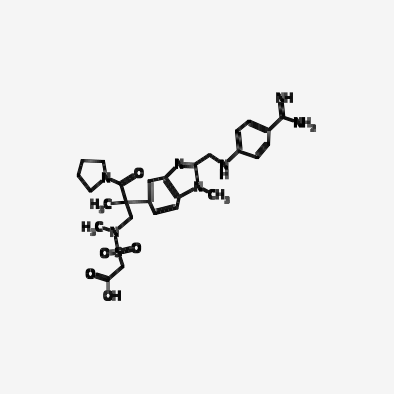 CN(CC(C)(C(=O)N1CCCC1)c1ccc2c(c1)nc(CNc1ccc(C(=N)N)cc1)n2C)S(=O)(=O)CC(=O)O